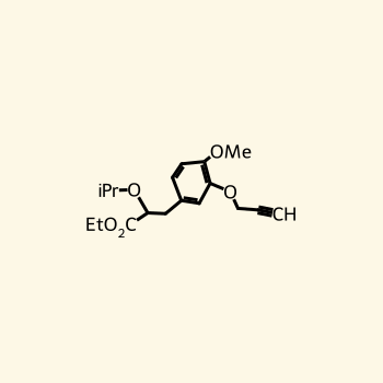 C#CCOc1cc(CC(OC(C)C)C(=O)OCC)ccc1OC